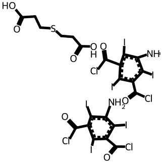 CNc1c(I)c(C(=O)Cl)c(I)c(C(=O)Cl)c1I.Nc1c(I)c(C(=O)Cl)c(I)c(C(=O)Cl)c1I.O=C(O)CCSCCC(=O)O